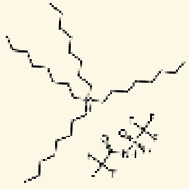 CCCCCCCC[PH](CCCCCCCC)(CCCCCCCC)CCCCCCCC.O=C(NS(=O)(=O)C(F)(F)F)C(F)(F)F